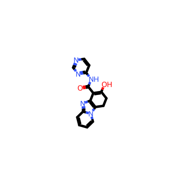 O=C(Nc1ccncn1)C1=C(O)CCc2c1nc1ccccn21